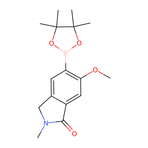 COc1cc2c(cc1B1OC(C)(C)C(C)(C)O1)CN(C)C2=O